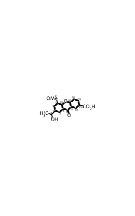 COc1cc(C(C)O)cc2c(=O)c3cc(C(=O)O)ccc3oc12